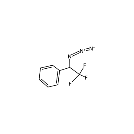 [N-]=[N+]=NC(c1ccccc1)C(F)(F)F